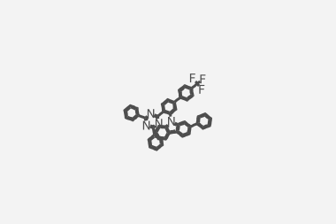 FC(F)(F)c1ccc(-c2ccc(-c3nc(-c4ccccc4)nc(-c4ccccc4)n3)c(-n3c4ccccc4c4ccc(-c5ccccc5)cc43)c2)cc1